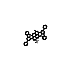 Cc1cc2c3c(cc4c([Si](C)(C)C)cc5c6c(cc1c3c46)B1c3ccccc3-c3cc(-c4ccccc4)cc-5c31)B1c3ccccc3-c3cc(-c4ccccc4)cc-2c31